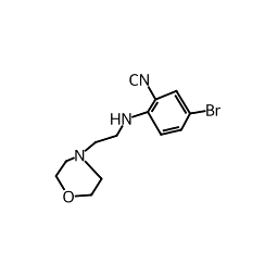 [C-]#[N+]c1cc(Br)ccc1NCCN1CCOCC1